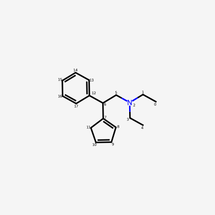 CCN(CC)CC(C1=CC=CC1)c1ccccc1